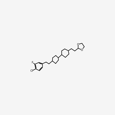 Fc1cc(CCC2CCC(C3CCC(CCC4OCCO4)CC3)CC2)ccc1Cl